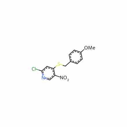 COc1ccc(CSc2cc(Cl)ncc2[N+](=O)[O-])cc1